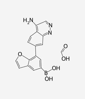 Nc1cnnc2cc(-c3cc(B(O)O)cc4ccoc34)ccc12.O=CO